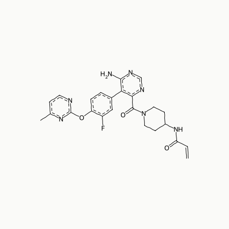 C=CC(=O)NC1CCN(C(=O)c2ncnc(N)c2-c2ccc(Oc3nccc(C)n3)c(F)c2)CC1